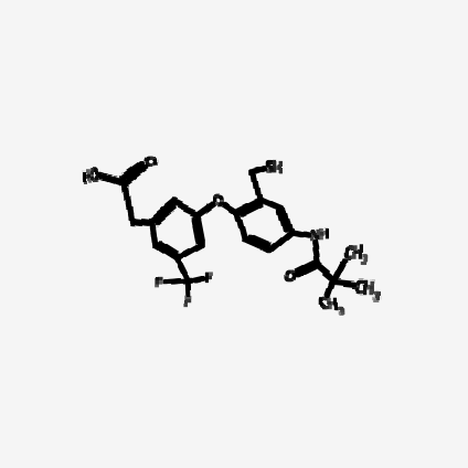 CC(C)(C)C(=O)Nc1ccc(Oc2cc(CC(=O)O)cc(C(F)(F)F)c2)c(CS)c1